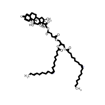 CCCCCCCC/C=C\CCCCCCCC(=O)OCC(COC(=O)CCC(=O)OCC(=O)[C@@]1(O)[C@H](C)CC2C3CCC4=CC(=O)C=CC4(C)[C@@]3(F)C(O)CC21C)OC(=O)CCCCCCC/C=C\CCCCCCCC